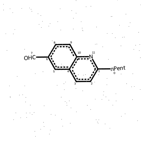 CCCCCc1ccc2cc(C=O)ccc2n1